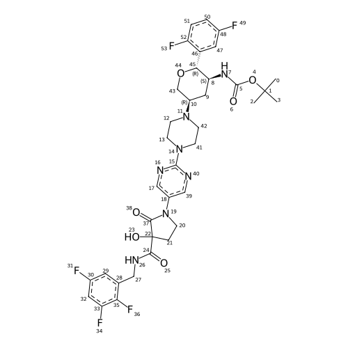 CC(C)(C)OC(=O)N[C@H]1C[C@@H](N2CCN(c3ncc(N4CCC(O)(C(=O)NCc5cc(F)cc(F)c5F)C4=O)cn3)CC2)CO[C@@H]1c1cc(F)ccc1F